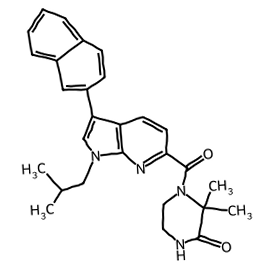 CC(C)Cn1cc(-c2ccc3ccccc3c2)c2ccc(C(=O)N3CCNC(=O)C3(C)C)nc21